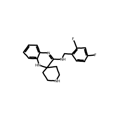 Fc1ccc(CNC2=Nc3ccccc3NC23CCNCC3)c(F)c1